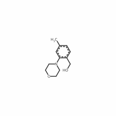 Cc1ccc(CO)c(N2CCOCC2)c1